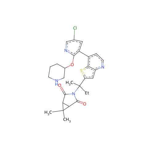 CCC(C)(c1cc2nccc(-c3cc(Cl)cnc3OC3CCCNC3)c2s1)N1C(=O)C2C(C1=O)C2(C)C